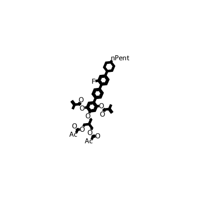 C=C(C)C(=O)Oc1cc(-c2ccc(-c3ccc(C4CCC(CCCCC)CC4)cc3F)cc2)c(OC(=O)C(=C)C)cc1OCC(COC(=O)C(C)=O)COC(=O)C(C)=O